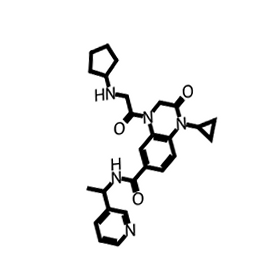 CC(NC(=O)c1ccc2c(c1)N(C(=O)CNC1CCCC1)CC(=O)N2C1CC1)c1cccnc1